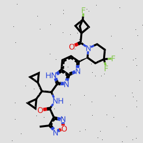 Cc1nonc1C(=O)NC(c1nc2nc([C@@H]3CC(F)(F)CCN3C(=O)C34CC(F)(C3)C4)ccc2[nH]1)C(C1CC1)C1CC1